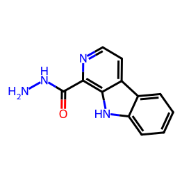 NNC(=O)c1nccc2c1[nH]c1ccccc12